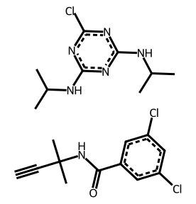 C#CC(C)(C)NC(=O)c1cc(Cl)cc(Cl)c1.CC(C)Nc1nc(Cl)nc(NC(C)C)n1